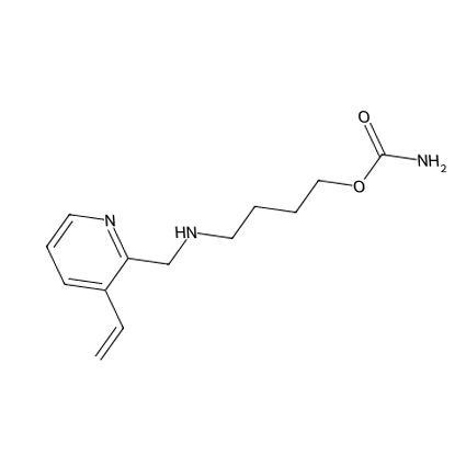 C=Cc1cccnc1CNCCCCOC(N)=O